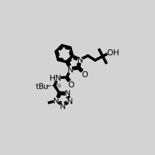 Cn1nnnc1[C@@H](NC(=O)n1c(=O)n(CCC(C)(C)O)c2ccccc21)C(C)(C)C